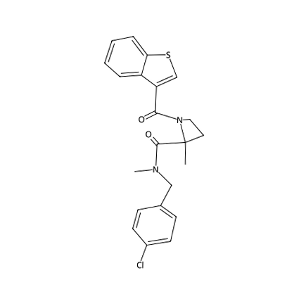 CN(Cc1ccc(Cl)cc1)C(=O)C1(C)CCN1C(=O)c1csc2ccccc12